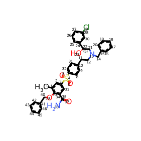 Cc1cc(S(=O)(=O)c2ccc(CCN(Cc3ccccc3)C[C@@H](O)c3cccc(Cl)c3)cc2)cc(C(N)=O)c1OCc1ccccc1